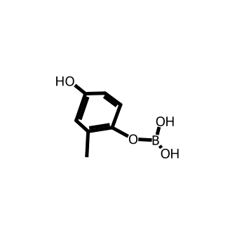 Cc1cc(O)ccc1OB(O)O